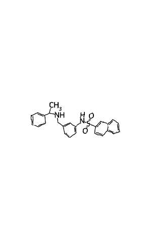 CC(NCc1cccc(NS(=O)(=O)c2ccc3ccccc3c2)c1)c1ccccc1